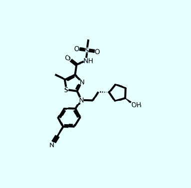 Cc1sc(N(CC[C@@H]2CC[C@@H](O)C2)c2ccc(C#N)cc2)nc1C(=O)NS(C)(=O)=O